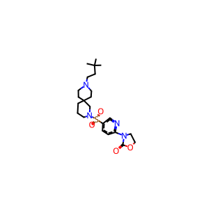 CC(C)(C)CCN1CCC2(CCCN(S(=O)(=O)c3ccc(N4CCOC4=O)nc3)C2)CC1